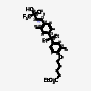 CCOC(=O)CCCCOc1ccc(C(CC)(CC)c2ccc(/C=C/C(O)(C(F)(F)F)C(F)(F)F)c(C)c2)cc1C